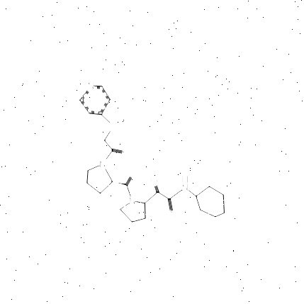 O=C(NC1CCCCC1)C(=O)C1CCCN1C(=O)[C@H]1CCCN1C(=O)CSc1ccncc1